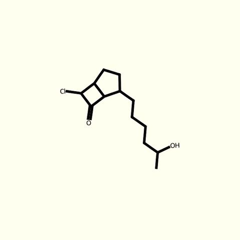 CC(O)CCCCC1CCC2C(Cl)C(=O)C12